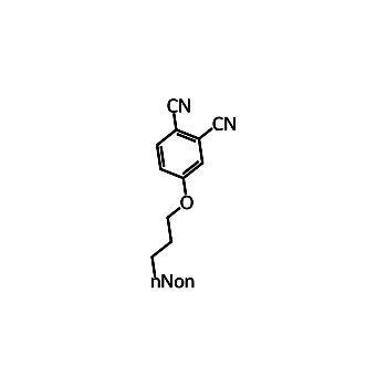 CCCCCCCCCCCCOc1ccc(C#N)c(C#N)c1